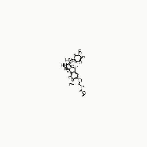 COCCCOc1cc2c(cc1OC)-c1n[nH]c(Nc3cccc(F)c3)c1C2